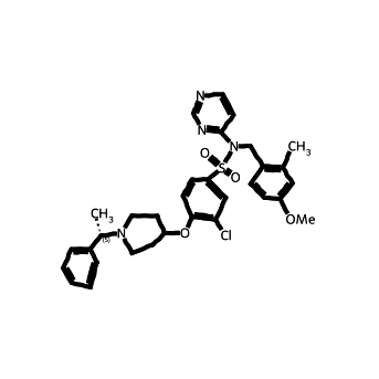 COc1ccc(CN(c2ccncn2)S(=O)(=O)c2ccc(OC3CCN([C@@H](C)c4ccccc4)CC3)c(Cl)c2)c(C)c1